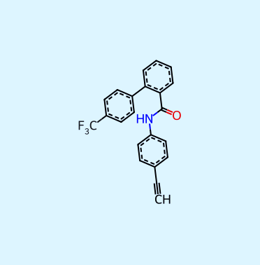 C#Cc1ccc(NC(=O)c2ccccc2-c2ccc(C(F)(F)F)cc2)cc1